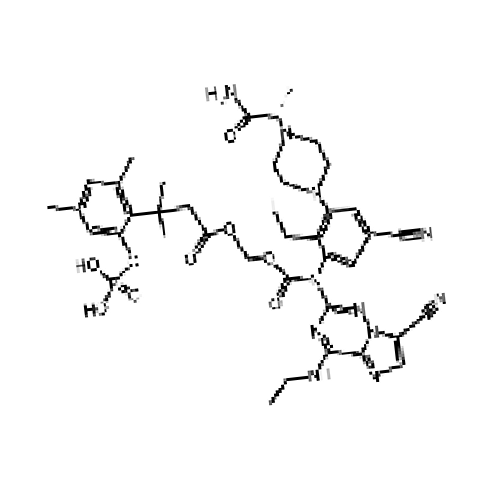 CCNc1nc(N(C(=O)OCOC(=O)CC(C)(C)c2c(C)cc(C)cc2OP(=O)(O)O)c2cc(C#N)cc(N3CCN([C@@H](C)C(N)=O)CC3)c2CI)nn2c(C#N)cnc12